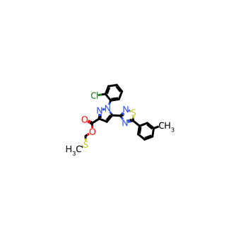 CSCOC(=O)c1cc(-c2nsc(-c3cccc(C)c3)n2)n(-c2ccccc2Cl)n1